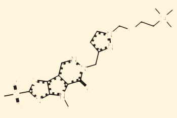 Cn1c2nc(S(C)(=O)=O)sc2c2cnn(Cc3ccn(COCC[Si](C)(C)C)n3)c(=O)c21